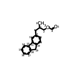 CC(COC=O)Cc1ccc2c(c1)-c1ccccc1C2